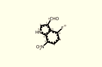 O=Cc1c[nH]c2c([N+](=O)[O-])ccc(F)c12